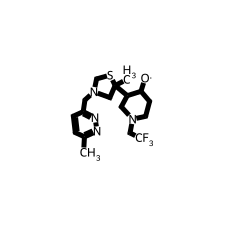 Cc1ccc(CN2CSC(C)(C3CN(CC(F)(F)F)CCC3[O])C2)nn1